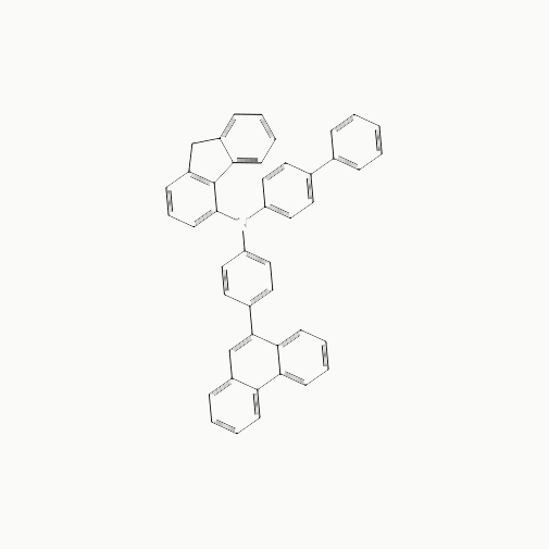 c1ccc(-c2ccc(N(c3ccc(-c4cc5ccccc5c5ccccc45)cc3)c3cccc4c3-c3ccccc3C4)cc2)cc1